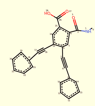 CNC(=O)c1cc(C#Cc2ccccc2)c(C#Cc2ccccc2)cc1C(=O)O